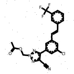 CC(=O)OCn1nc(C#N)c(-c2cc(Cl)cc(/C=C/c3cccc(C(F)(F)F)c3)c2)n1